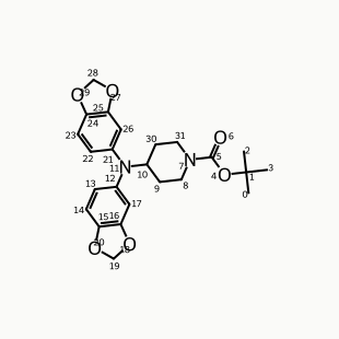 CC(C)(C)OC(=O)N1CCC(N(c2ccc3c(c2)OCO3)c2ccc3c(c2)OCO3)CC1